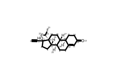 C#C[C@]1(O)CC[C@H]2[C@@H]3CCC4=CC(=O)CC[C@@H]4[C@H]3CC[C@@]21C(F)F